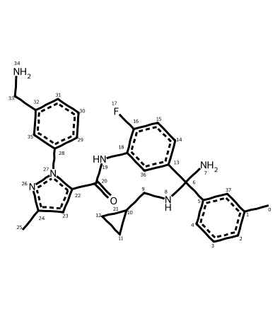 Cc1cccc(C(N)(NCC2CC2)c2ccc(F)c(NC(=O)c3cc(C)nn3-c3cccc(CN)c3)c2)c1